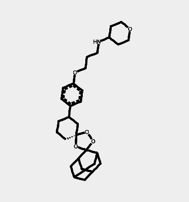 c1cc(C2CCC[C@]3(C2)OOC2(O3)C3CC4CC(C3)CC2C4)ccc1OCCCNC1CCOCC1